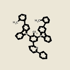 Cc1ccccc1-c1ccc2c(c1)c1ccccc1n2-c1cc(-c2cccc(-c3ccccc3)n2)cc(-n2c3ccccc3c3cc(-c4ccccc4C)ccc32)c1C(F)(F)F